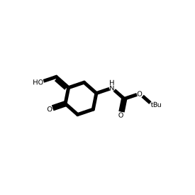 CC(C)(C)OC(=O)NC1CCC(=O)/C(=C\O)C1